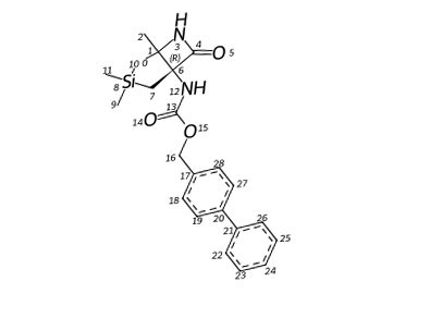 CC1(C)NC(=O)[C@]1(C[Si](C)(C)C)NC(=O)OCc1ccc(-c2ccccc2)cc1